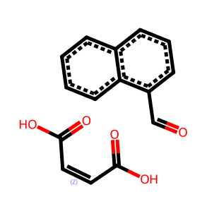 O=C(O)/C=C\C(=O)O.O=Cc1cccc2ccccc12